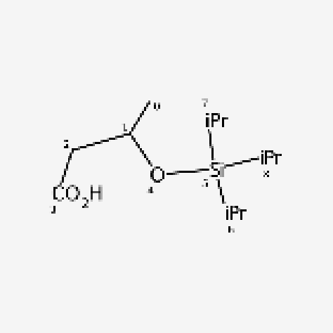 CC(CC(=O)O)O[Si](C(C)C)(C(C)C)C(C)C